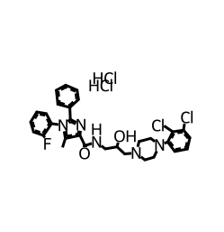 Cc1c(C(=O)NCC(O)CN2CCN(c3cccc(Cl)c3Cl)CC2)nc(-c2ccccc2)n1-c1ccccc1F.Cl.Cl